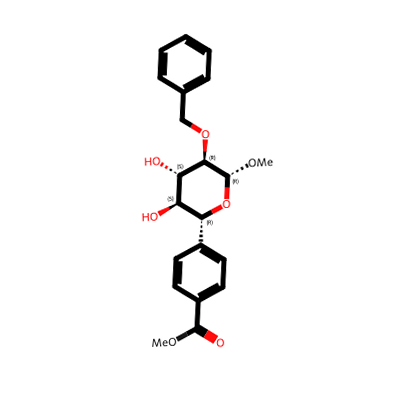 COC(=O)c1ccc([C@H]2O[C@@H](OC)[C@H](OCc3ccccc3)[C@@H](O)[C@@H]2O)cc1